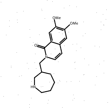 COc1cc2ccn(CC3CCCCNC3)c(=O)c2cc1OC